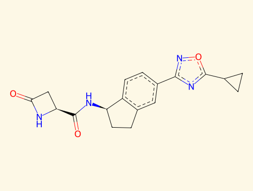 O=C1C[C@@H](C(=O)N[C@@H]2CCc3cc(-c4noc(C5CC5)n4)ccc32)N1